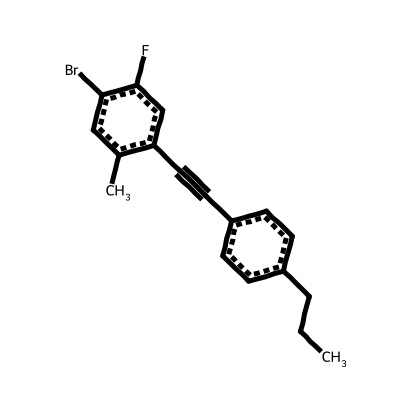 CCCc1ccc(C#Cc2cc(F)c(Br)cc2C)cc1